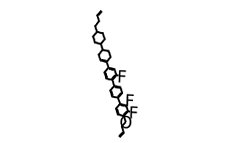 C=CCCC1CCC(C2CC=C(c3ccc(-c4ccc(-c5ccc(OCC=C)c(F)c5F)cc4)c(F)c3)CC2)CC1